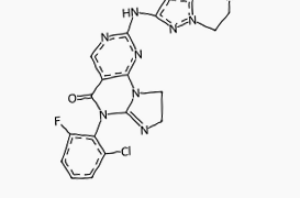 CN1CCn2nc(Nc3ncc4c(n3)N3CCN=C3N(c3c(F)cccc3Cl)C4=O)cc2C1